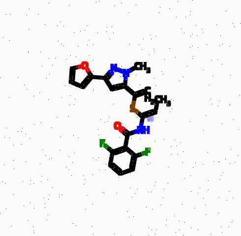 C=C(S/C(=C\C)NC(=O)c1c(F)cccc1F)c1cc(-c2ccco2)nn1C